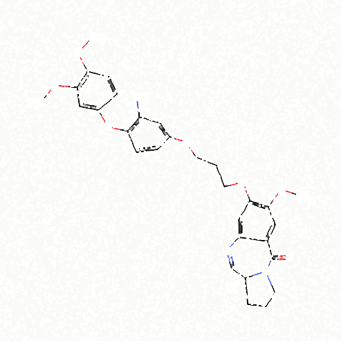 COc1ccc(Oc2ccc(OCCCOc3cc4c(cc3OC)C(=O)N3CCC[C@H]3C=N4)cc2N)cc1OC